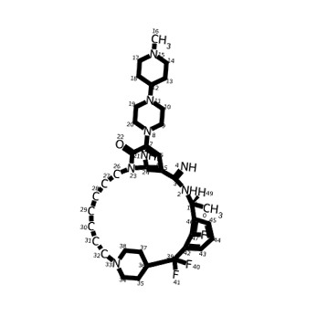 C[C@H]1NC(=N)c2cc(N3CCN(C4CCN(C)CC4)CC3)c(=O)n(c2N)CCCCCCCN2CCC(CC2)C(F)(F)c2cccc1c2F